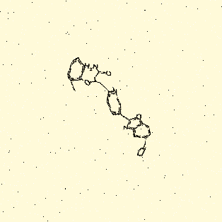 Cc1ccccc1OC(C(N)=O)c1ccc(-c2nc3cc(Cl)ccc3o2)cn1